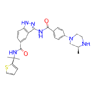 C[C@H]1CN(c2ccc(C(=O)Nc3n[nH]c4ccc(C(=O)NC(C)(C)c5cccs5)cc34)cc2)CCN1